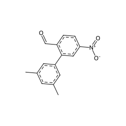 Cc1cc(C)cc(-c2cc([N+](=O)[O-])ccc2C=O)c1